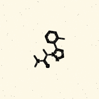 Cc1ccccc1-c1ccnn1C(C)C(=O)N(C)C